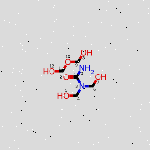 NC(=O)N(CO)CO.OCOCO